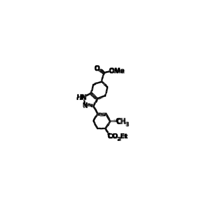 CCOC(=O)C1CCC(c2n[nH]c3c2CCC(C(=O)OC)C3)=CC1C